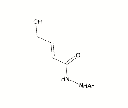 CC(=O)NNC(=O)C=CCO